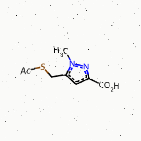 CC(=O)SCc1cc(C(=O)O)nn1C